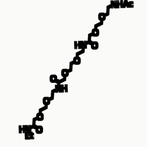 CCNC(=O)COCCOCCNC(=O)COCCOCCNC(=O)COCCOCCNC(C)=O